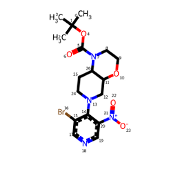 CC(C)(C)OC(=O)N1CCOC2CN(c3c(Br)cncc3[N+](=O)[O-])CCC21